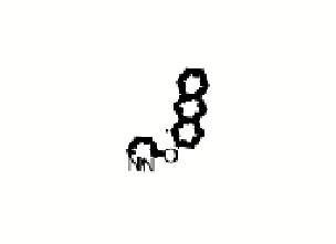 [c]1c(Oc2cccnn2)ccc2cc3ccccc3cc12